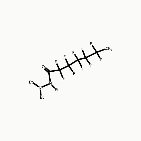 CCN(CC)N(CC)C(=O)C(F)(F)C(F)(F)C(F)(F)C(F)(F)C(F)(F)C(F)(F)F